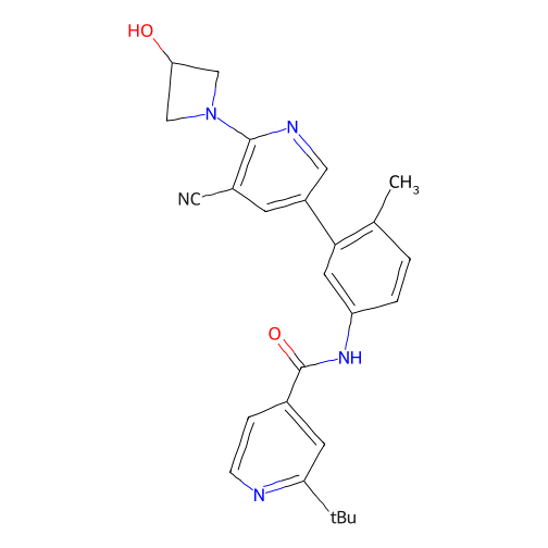 Cc1ccc(NC(=O)c2ccnc(C(C)(C)C)c2)cc1-c1cnc(N2CC(O)C2)c(C#N)c1